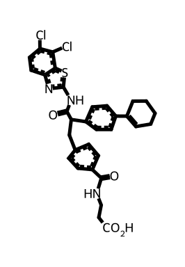 O=C(O)CCNC(=O)c1ccc(CC(C(=O)Nc2nc3ccc(Cl)c(Cl)c3s2)c2ccc(C3=CCCCC3)cc2)cc1